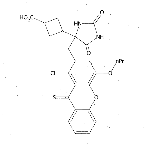 CCCOc1cc(CC2(C3CC(C(=O)O)C3)NC(=O)NC2=O)c(Cl)c2c(=S)c3ccccc3oc12